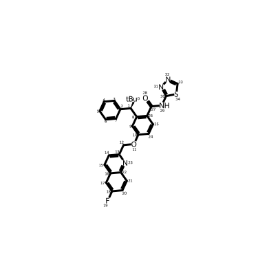 CC(C)(C)[C@H](c1ccccc1)c1cc(OCc2ccc3cc(F)ccc3n2)ccc1C(=O)Nc1nncs1